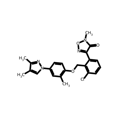 Cc1cc(-n2cc(C)c(C)n2)ccc1OCc1c(Cl)cccc1-c1non(C)c1=O